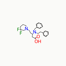 O=C(O)CC(CCN1CCCC(F)(F)C1)N(CCc1ccccc1)Cc1ccccc1